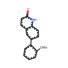 COc1ccccc1-c1ccc2[nH]c(=O)ccc2c1